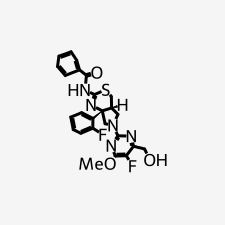 COc1nc(N2C[C@H]3CSC(NC(=O)c4ccccc4)=N[C@@]3(c3ccccc3F)C2)nc(CO)c1F